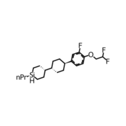 CCC[Si@H]1CC[C@H]([C@H]2CC[C@H](c3ccc(OCC(F)F)c(F)c3)CC2)CC1